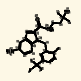 Cc1ccc(C(F)(F)F)cc1Cn1c(C(=O)NCCC(C)(C)O)cc2cc(N)ccc21